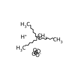 CCCCCCC[N+](C)(CCCCCCC)CCCCCCC.O=S(=O)([O-])[O-].[H+]